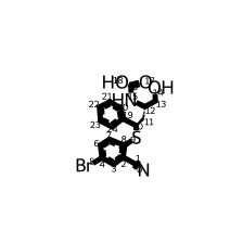 N#Cc1cc(Br)ccc1S[C@H](C[C@@H](CO)NC(=O)O)c1ccccc1